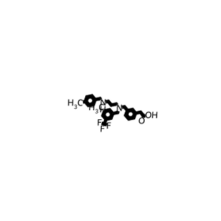 Cc1ccc(CNCCCN(Cc2cccc(CC(=O)O)c2)Cc2cc(C)cc(C(F)(F)F)c2)cc1